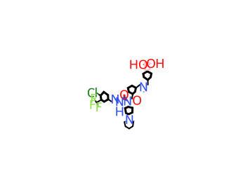 CN(Cc1ccc(B(O)O)cc1)Cc1cccc(C(=O)N(C(=O)NN=Cc2ccc(Cl)c(C(F)(F)F)c2)c2ccc(N3CCCCC3)cc2)c1